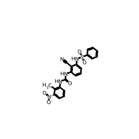 Cc1c(NC(=O)Nc2cccc(NS(=O)(=O)c3ccccc3)c2C#N)cccc1[N+](=O)[O-]